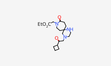 CCOC(=O)CN1CCC2(CCC1=O)CN(CC(=O)C1CCC1)CCN2